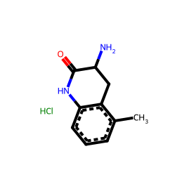 Cc1cccc2c1CC(N)C(=O)N2.Cl